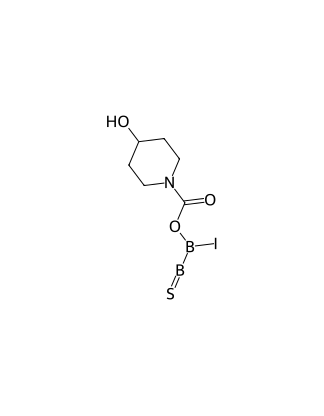 O=C(OB(I)B=S)N1CCC(O)CC1